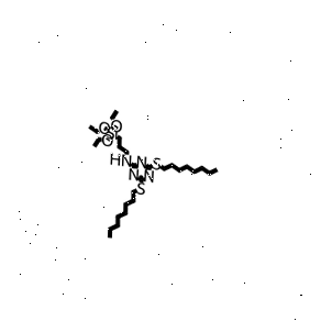 CCCCCCCCSc1nc(NCCC[Si](OCC)(OCC)OCC)nc(SCCCCCCCC)n1